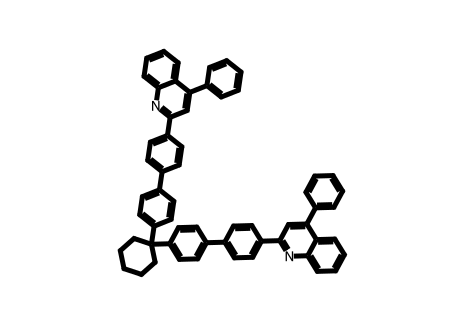 c1ccc(-c2cc(-c3ccc(-c4ccc(C5(c6ccc(-c7ccc(-c8cc(-c9ccccc9)c9ccccc9n8)cc7)cc6)CCCCC5)cc4)cc3)nc3ccccc23)cc1